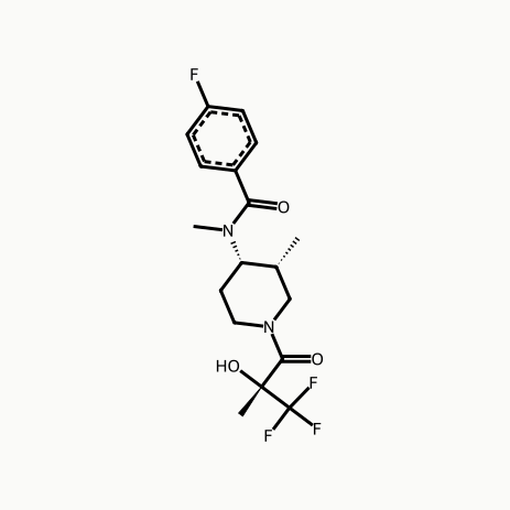 C[C@@H]1CN(C(=O)[C@@](C)(O)C(F)(F)F)CC[C@@H]1N(C)C(=O)c1ccc(F)cc1